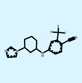 N#Cc1ccc(NC2CCCC(n3ccnc3)C2)cc1C(F)(F)F